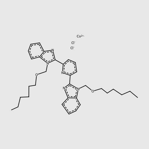 CCCCCCOCn1c(-c2cccc(-c3nc4ccccc4n3COCCCCCC)n2)nc2ccccc21.[Cl-].[Cl-].[Co+2]